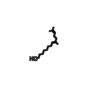 CC(C)=CCCC(C)=CCCCCCCCO